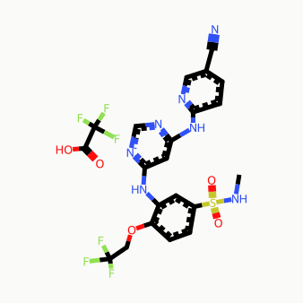 CNS(=O)(=O)c1ccc(OCC(F)(F)F)c(Nc2cc(Nc3ccc(C#N)cn3)ncn2)c1.O=C(O)C(F)(F)F